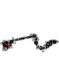 COc1cc(C(=O)NCCOCCOCCOCCOCCC(=O)N[C@H](C(=O)N[C@@H](C)C(=O)Nc2ccc(COC(=O)N3CCC(NC(=O)O[C@H]4CC[C@]5(C)C6CC[C@]7(C)[C@@H](c8ccc(=O)oc8)CC[C@]7(O)C6CC[C@@H]5C4)CC3)cc2)C(C)C)ccc1NC(=O)[C@@H]1N[C@@H](CC(C)(C)C)[C@](C#N)(c2ccc(Cl)cc2F)[C@H]1c1cccc(Cl)c1F